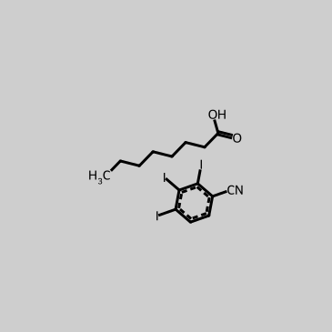 CCCCCCCC(=O)O.N#Cc1ccc(I)c(I)c1I